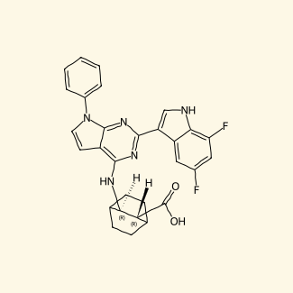 O=C(O)[C@@H]1C2CCC(CC2)[C@H]1Nc1nc(-c2c[nH]c3c(F)cc(F)cc23)nc2c1ccn2-c1ccccc1